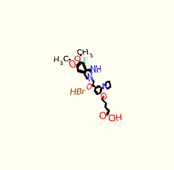 Br.CCOc1cc2c(c(F)c1OCC)C(=N)N(CC(=O)c1ccc(OCCCCC(=O)O)c(N3CCCC3)c1)C2